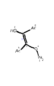 CC(=O)/C(O)=C(\OP)C(C)=O